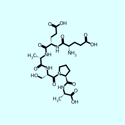 C[C@H](NC(=O)[C@@H]1CCCN1C(=O)[C@H](CO)NC(=O)[C@H](C)NC(=O)[C@H](CCC(=O)O)NC(=O)[C@@H](N)CCC(=O)O)C(=O)O